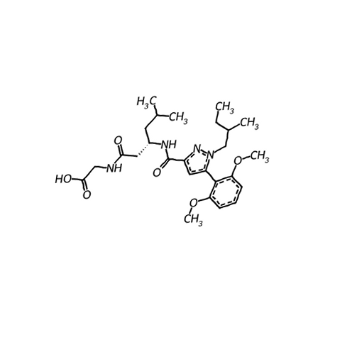 CCC(C)Cn1nc(C(=O)N[C@H](CC(=O)NCC(=O)O)CC(C)C)cc1-c1c(OC)cccc1OC